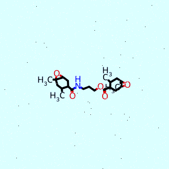 CC1CC2(C)OC2CC1C(=O)NCCCOC(=O)C1CC2OC2(C)CC1C